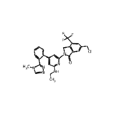 CCNc1cc(-c2ccccc2-c2nncn2C)cc(N2Cc3c(cc(CCl)cc3C(F)(F)F)C2=O)n1